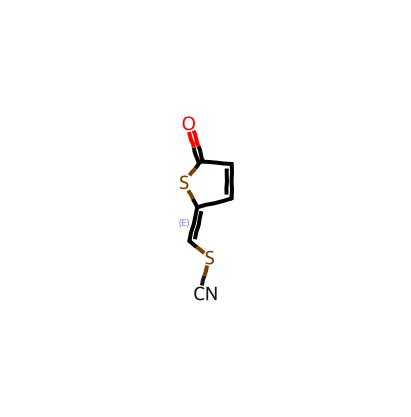 N#CS/C=C1\C=CC(=O)S1